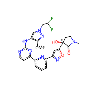 COc1nn(CC(F)F)cc1Nc1nccc(-c2cccc(-c3cc([C@]4(O)CCN(C)C4=O)on3)n2)n1